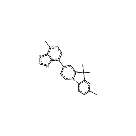 Cc1ccc2c(c1)C(C)(C)c1cc(-c3ccc(C)c4nsnc34)ccc1-2